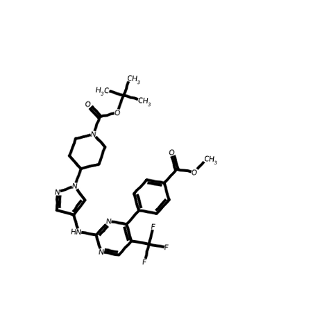 COC(=O)c1ccc(-c2nc(Nc3cnn(C4CCN(C(=O)OC(C)(C)C)CC4)c3)ncc2C(F)(F)F)cc1